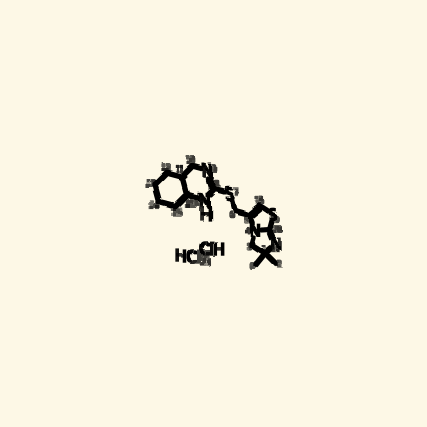 CC1(C)CN2C(CSC3=NCC4CCCCC4N3)=CSC2=N1.Cl.Cl